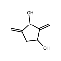 C=C1CC(O)C(=C)N1O